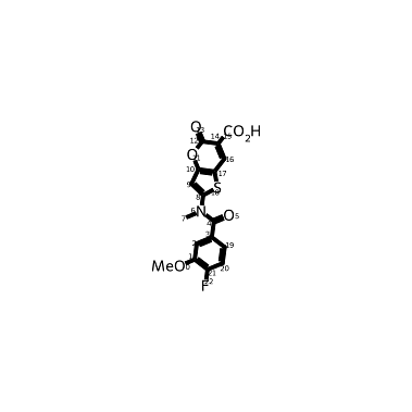 COc1cc(C(=O)N(C)c2cc3oc(=O)c(C(=O)O)cc3s2)ccc1F